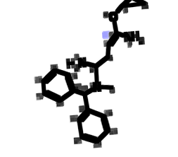 CN(C(N)C/C=C(\N)OC1CC1)C(c1ccccc1)c1ccccc1